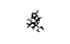 CCN(CC)CCC1(C(F)(F)F)c2cc(F)ccc2Nc2c1cc[nH]c2=O